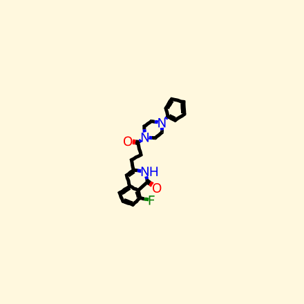 O=C(CCc1cc2cccc(F)c2c(=O)[nH]1)N1CCN(c2ccccc2)CC1